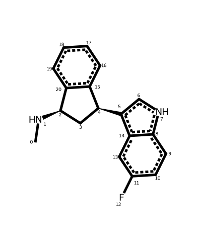 CN[C@@H]1C[C@H](c2c[nH]c3ccc(F)cc23)c2ccccc21